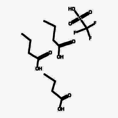 CCCC(=O)O.CCCC(=O)O.CCCC(=O)O.O=S(=O)(O)C(F)(F)F